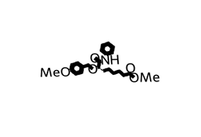 COC(=O)CCCCC[C@H](OCc1ccc(OC)cc1)C(=O)Nc1ccccc1